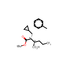 CC(C)(C)OC(=O)[C@H](CC1CC1)[C@@H](CCC(F)(F)F)C(=O)O.Cc1ccccc1